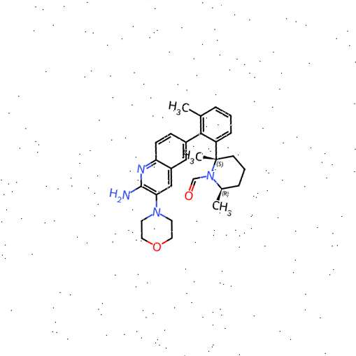 Cc1cccc([C@]2(C)CCC[C@@H](C)N2C=O)c1-c1ccc2nc(N)c(N3CCOCC3)cc2c1